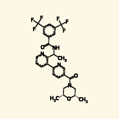 CC(NC(=O)c1cc(C(F)(F)F)cc(C(F)(F)F)c1)c1ncccc1-c1ccc(C(=O)N2C[C@@H](C)O[C@@H](C)C2)cn1